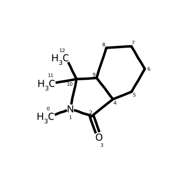 CN1C(=O)C2CCCCC2C1(C)C